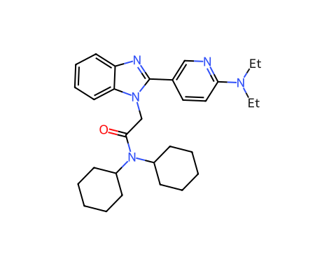 CCN(CC)c1ccc(-c2nc3ccccc3n2CC(=O)N(C2CCCCC2)C2CCCCC2)cn1